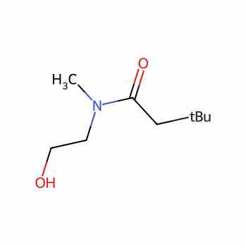 CN(CCO)C(=O)CC(C)(C)C